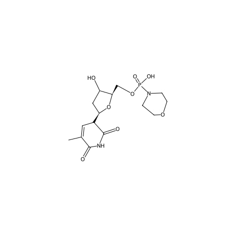 CC1=CC([C@H]2CC(O)[C@@H](COP(=O)(O)N3CCOCC3)O2)C(=O)NC1=O